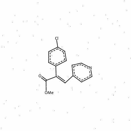 COC(=O)/C(=C/c1ccncc1)c1ccc(Cl)cc1